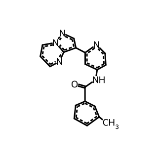 Cc1cccc(C(=O)Nc2ccnc(-c3cnn4cccnc34)c2)c1